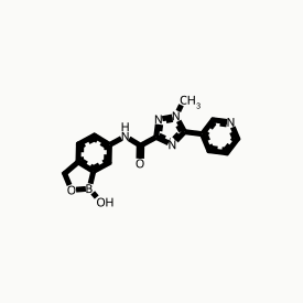 Cn1nc(C(=O)Nc2ccc3c(c2)B(O)OC3)nc1-c1cccnc1